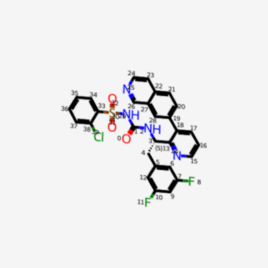 O=C(N[C@@H](Cc1cc(F)cc(F)c1)c1ncccc1-c1ccc2ccncc2c1)NS(=O)(=O)c1ccccc1Cl